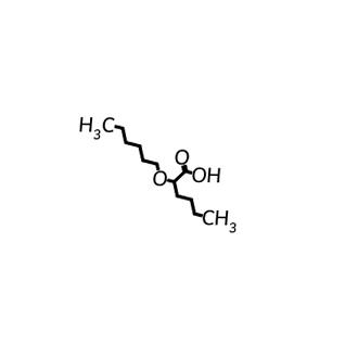 CCCCCCOC(CCCC)C(=O)O